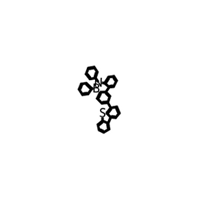 c1ccc(B2c3ccc(-c4cccc5c4sc4ccccc45)cc3-c3ccccc3N2c2ccccc2)cc1